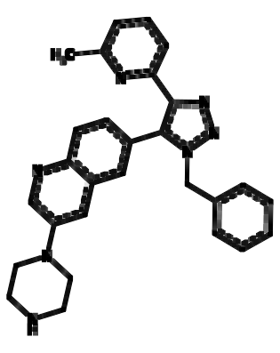 Cc1cccc(-c2nnn(Cc3ccccc3)c2-c2ccc3ncc(N4CCNCC4)cc3c2)n1